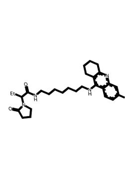 CCC(C(=O)NCCCCCCCNc1c2c(nc3cc(Cl)ccc13)CCCC2)N1CCCC1=O